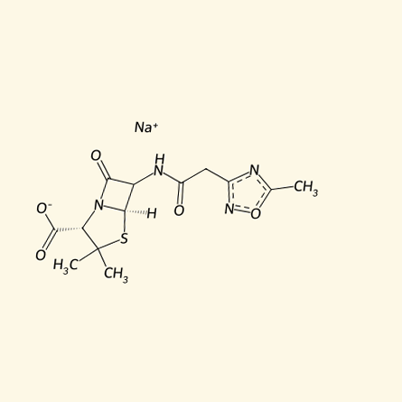 Cc1nc(CC(=O)NC2C(=O)N3[C@@H]2SC(C)(C)[C@@H]3C(=O)[O-])no1.[Na+]